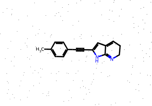 Cc1ccc(C#Cc2cc3c([nH]2)=NCCC=3)cc1